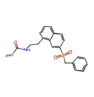 CCCCCCC(=O)NCCc1cccc2ccc(S(=O)(=O)Cc3ccccc3)cc12